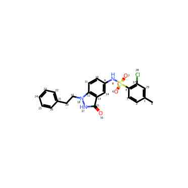 Cc1ccc(S(=O)(=O)Nc2ccc3c(c2)c(=O)[nH]n3CCc2ccccc2)c(Cl)c1